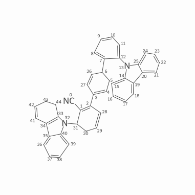 N#CC1=C(C2=CCC(c3ccccc3-n3c4ccccc4c4ccccc43)C=C2)C=CCC1n1c2c(c3ccccc31)C=CCC2